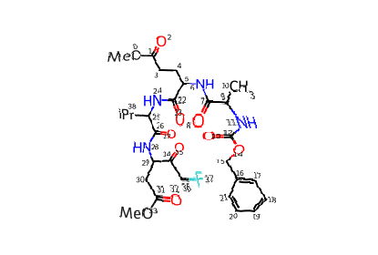 COC(=O)CCC(NC(=O)C(C)NC(=O)OCc1ccccc1)C(=O)NC(C(=O)NC(CC(=O)OC)C(=O)CF)C(C)C